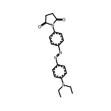 [CH2]CN(CC)c1ccc(N=Nc2ccc(N3C(=O)CCC3=O)cc2)cc1